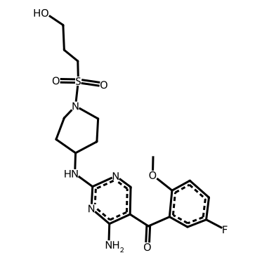 COc1ccc(F)cc1C(=O)c1cnc(NC2CCN(S(=O)(=O)CCCO)CC2)nc1N